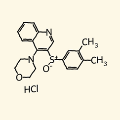 Cc1ccc([S+]([O-])c2cnc3ccccc3c2N2CCOCC2)cc1C.Cl